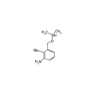 C[SiH](C)OCc1cccc(N)c1C(C)(C)C